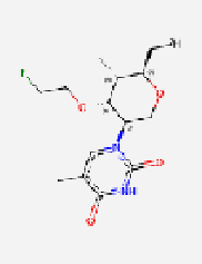 [2H]C[C@H]1OC[C@@H](n2cc(C)c(=O)[nH]c2=O)[C@H](OCCF)[C@@H]1C